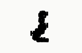 COc1cccc(NS(=O)(=O)c2cccc(S(=O)(=O)NCC3CCN(C(=O)OC(C)(C)C)CC3)c2)c1